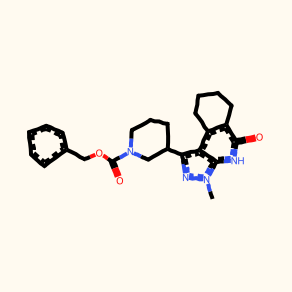 Cn1nc(C2CCCN(C(=O)OCc3ccccc3)C2)c2c3c(c(=O)[nH]c21)CCCC3